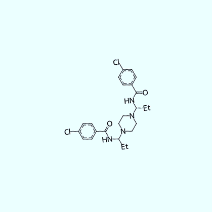 CCC(NC(=O)c1ccc(Cl)cc1)N1CCN(C(CC)NC(=O)c2ccc(Cl)cc2)CC1